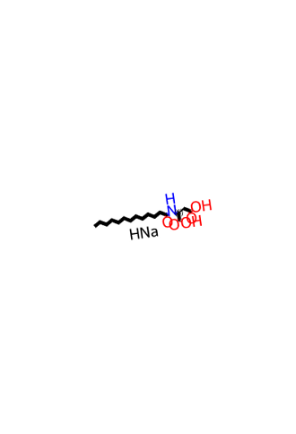 CCCCCCCCCCCCC(=O)N[C@@H](CC(=O)O)C(=O)O.[NaH]